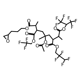 CC(=O)OC(C)(CC(C(=O)OCC(F)(F)F)C(C)C(=O)OCCCC1CO1)CC(C(=O)OCC(F)(F)C(F)F)C(C)C(=O)OC(C(F)(F)F)C(F)(F)F